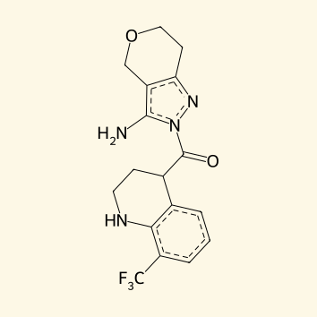 Nc1c2c(nn1C(=O)C1CCNc3c1cccc3C(F)(F)F)CCOC2